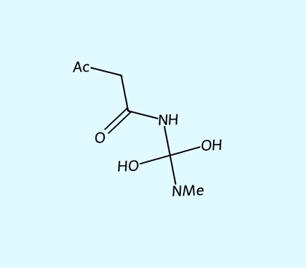 CNC(O)(O)NC(=O)CC(C)=O